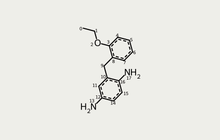 CCOc1ccccc1Cc1cc(N)ccc1N